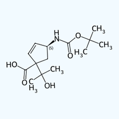 CC(C)(C)OC(=O)N[C@@H]1C=CC(C(=O)O)(C(C)(C)O)C1